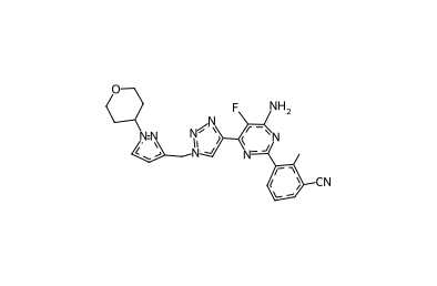 Cc1c(C#N)cccc1-c1nc(N)c(F)c(-c2cn(Cc3ccn(C4CCOCC4)n3)nn2)n1